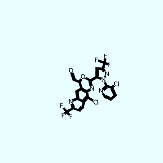 O=CC1OC(c2cc(C(F)(F)F)nn2-c2ncccc2Cl)=Nc2c1cc1nc(C(F)(F)F)ccc1c2Cl